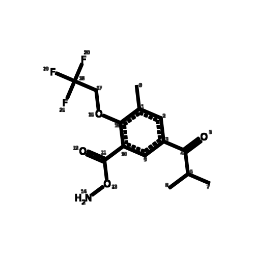 Cc1cc(C(=O)C(C)C)cc(C(=O)ON)c1OCC(F)(F)F